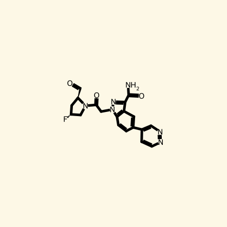 NC(=O)c1nn(CC(=O)N2C[C@H](F)C[C@H]2C=O)c2ccc(-c3ccnnc3)cc12